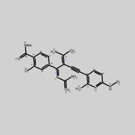 C=C(N)/N=C(\C(C#Cc1ccc(NCC)nc1C)=C(\C)N)c1ccc(C(=O)NC)c(Cl)c1